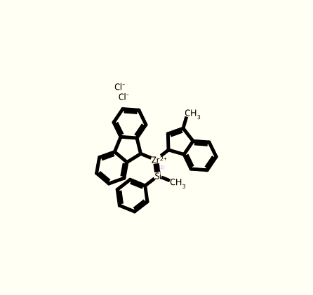 CC1=C[CH](/[Zr+2]([CH]2c3ccccc3-c3ccccc32)=[Si](\C)c2ccccc2)c2ccccc21.[Cl-].[Cl-]